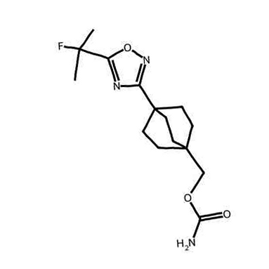 CC(C)(F)c1nc(C23CCC(COC(N)=O)(CC2)CC3)no1